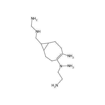 NCCN(N)/C1=C(\N)CCC2C(CC1)C2CNCN